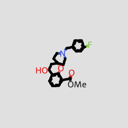 COC(=O)c1cccc2c1OC1(CCN(Cc3ccc(F)cc3)CC1)CC2O